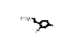 CCOC(=O)/C=C/c1ccc(Br)cc1N